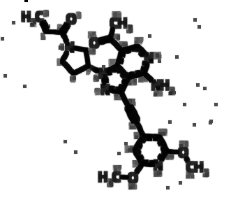 C=CC(=O)N1CC[C@H](n2nc(C#Cc3cc(OC)nc(OC)c3)c3c(N)ncc(C(C)=O)c32)C1